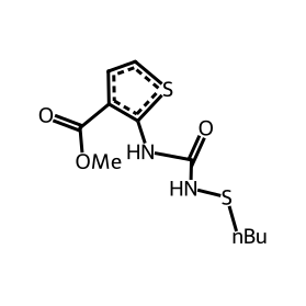 CCCCSNC(=O)Nc1sccc1C(=O)OC